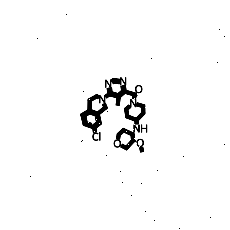 CO[C@@H]1COCC[C@@H]1NC1CCN(C(=O)c2ncnc(N3CCc4ccc(Cl)cc4C3)c2C)CC1